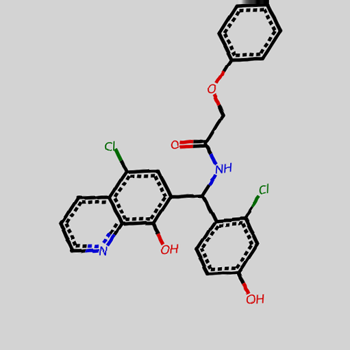 O=C(COc1ccccc1)NC(c1ccc(O)cc1Cl)c1cc(Cl)c2cccnc2c1O